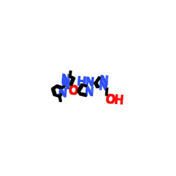 Cc1cccc(-n2nc(C)cc2Oc2ccnc(Nc3cnn(CCO)c3)c2)n1